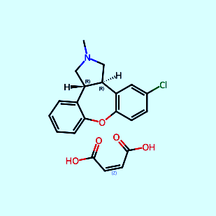 CN1C[C@H]2c3ccccc3Oc3ccc(Cl)cc3[C@@H]2C1.O=C(O)/C=C\C(=O)O